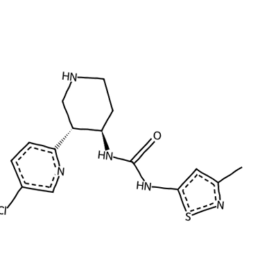 Cc1cc(NC(=O)N[C@@H]2CCNC[C@H]2c2ccc(Cl)cn2)sn1